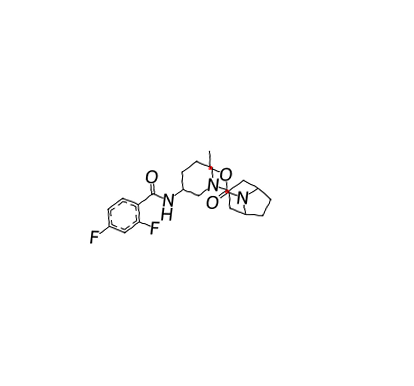 CCOC(=O)N1C2CCC1CC(N1CCCC(NC(=O)c3ccc(F)cc3F)C1)C2